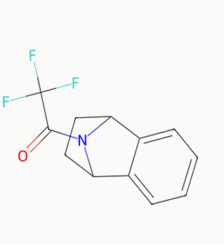 O=C(N1C2CCC1c1ccccc12)C(F)(F)F